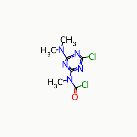 CN(C)c1nc(Cl)nc(N(C)C(=O)Cl)n1